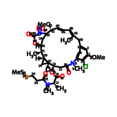 COc1cc2cc(c1Cl)N(C)C(=O)C[C@H](OC(=O)[C@H](C)N(C)C(=O)CCSSC)[C@]1(C)C[C@@H]1[C@@H](C)[C@@H]1C[C@@](O)(NC(=O)O1)[C@H](OC)/C=C/C=C(\C)C2